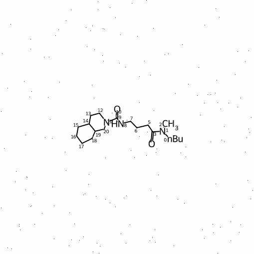 CCCCN(C)C(=O)CCCNC(=O)N1CCC2CCCCC2C1